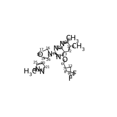 Cc1cc2c(OCC3CC(F)(F)C3)nc(N3CCO[C@@H](c4cnn(C)c4)C3)nc2nc1C